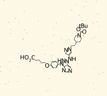 CC(C)(C)OC(=O)N1CCC(CCn2cc(NN3NN(c4ccc(OCCCCC(=O)O)cc4)c4ncncc43)cn2)CC1